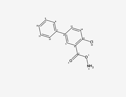 NOC(=O)c1cc(-c2ccccc2)ccc1Cl